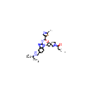 C=CC(=O)N1CC[C@]2(C1)C[C@@H](n1c(NC(=O)c3cnc(C(C)C)s3)nc3cc(CN[C@@H](C)C(C)(C)C)ccc31)C2